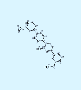 COc1cc(-c2ccc(-c3cnc(N4CCN[C@@H](C5CC5)C4)nn3)c(O)c2)ccn1